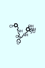 O=C(CCNCCc1cccc(Cl)c1)N(CCNCCc1ccc(O)c2[nH]c(=O)sc12)C1CCOCC1